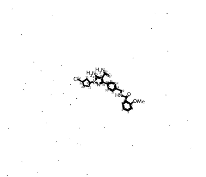 COc1ccccc1C(=O)NCc1ccc(-c2nn(C3CCC(Cl)C3)c(N)c2C(N)=O)cc1